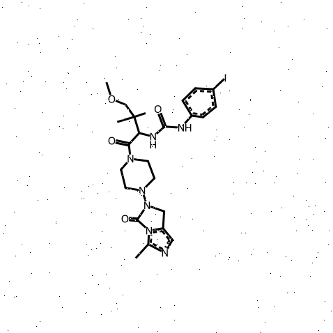 COCC(C)(C)C(NC(=O)Nc1ccc(I)cc1)C(=O)N1CCN(N2Cc3cnc(C)n3C2=O)CC1